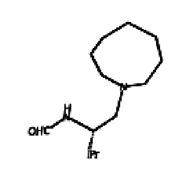 CC(C)[C@@H](CN1CCCCCCC1)NC=O